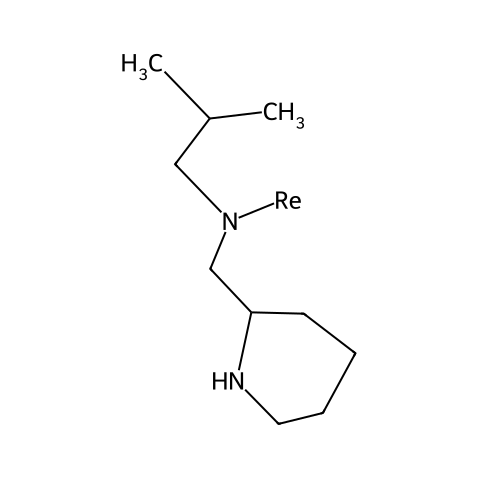 CC(C)C[N]([Re])CC1CCCCN1